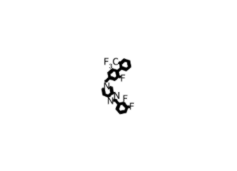 Fc1cc(Cn2ccc3nc(-c4cccc(F)c4F)nc-3c2)ccc1-c1ccccc1C(F)(F)F